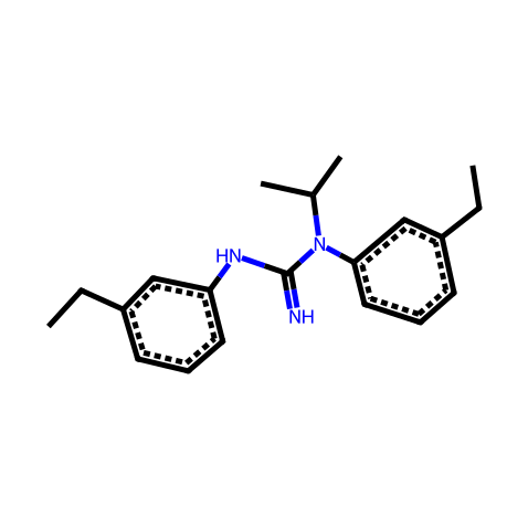 CCc1cccc(NC(=N)N(c2cccc(CC)c2)C(C)C)c1